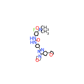 CN(C)C(=O)c1ccc(NC(=O)Nc2ccc(-c3nc(N4CCOCC4)c4ccc(-c5ccco5)cc4n3)cc2)cc1F